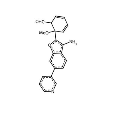 COC1(c2oc3cc(-c4cccnc4)ccc3c2N)C=CC=CC1C=O